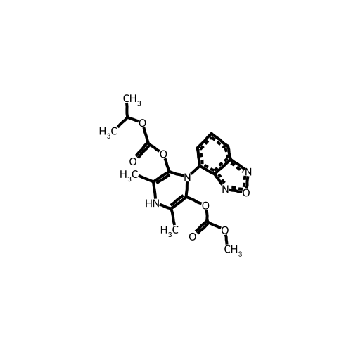 COC(=O)OC1=C(C)NC(C)=C(OC(=O)OC(C)C)N1c1cccc2nonc12